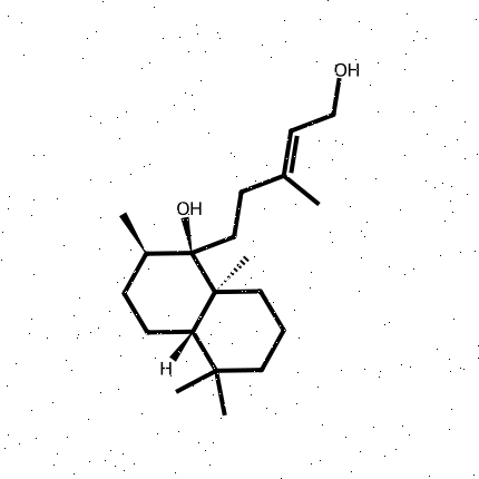 C/C(=C\CO)CC[C@@]1(O)[C@H](C)CC[C@H]2C(C)(C)CCC[C@@]21C